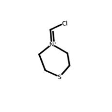 ClC=[N+]1CCSCC1